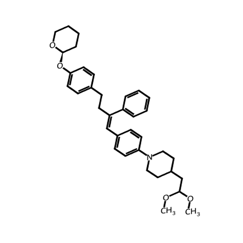 COC(CC1CCN(c2ccc(C=C(CCc3ccc(O[C@@H]4CCCCO4)cc3)c3ccccc3)cc2)CC1)OC